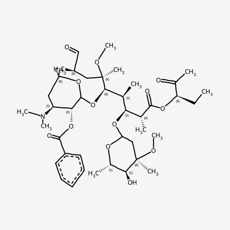 CC[C@@H](OC(=O)[C@H](C)[C@@H](OC1C[C@@](C)(OC)[C@@H](O)[C@H](C)O1)[C@H](C)[C@@H](OC1O[C@H](C)C[C@H](N(C)C)[C@H]1OC(=O)c1ccccc1)[C@@](C)(C[C@@H](C)C=O)OC)C(C)=O